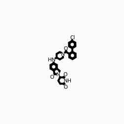 O=C1CCC(N2Cc3cc(NC4CCN(C(=O)c5ccccc5-c5ccc(Cl)cc5)CC4)ccc3C2=O)C(=O)N1